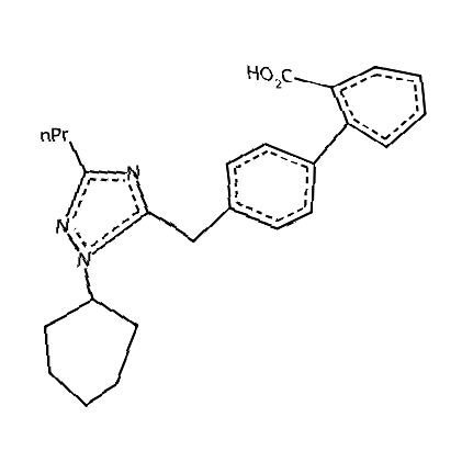 CCCc1nc(Cc2ccc(-c3ccccc3C(=O)O)cc2)n(C2CCCCC2)n1